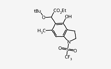 CCOC(=O)C(OC(C)(C)C)c1c(C)cc2c(c1O)CCN2S(=O)(=O)C(F)(F)F